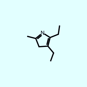 CCC1=C(CC)N=C(C)C1